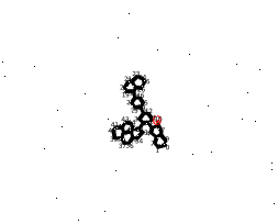 c1ccc2cc3c(cc2c1)oc1cc(-c2ccc(-c4cccc5ccccc45)cc2)cc(-c2ccc4ccc5cccc6ccc2c4c56)c13